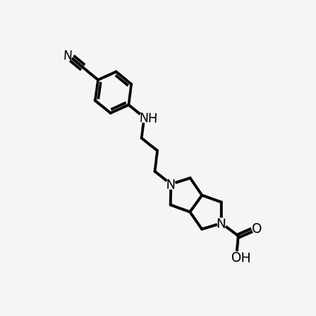 N#Cc1ccc(NCCCN2CC3CN(C(=O)O)CC3C2)cc1